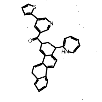 O=C(c1cncc(-c2cccs2)c1)C1C=c2c(ccc3c2=CCc2ccccc2-3)C(C2=CC=CC=CN2)C1